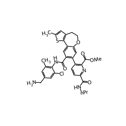 CCCNC(=O)c1ccc(-c2cc3c(cc2C(=O)Nc2c(C)cc(CN)cc2Cl)-c2sc(C)cc2CCO3)c(C(=O)OC)n1